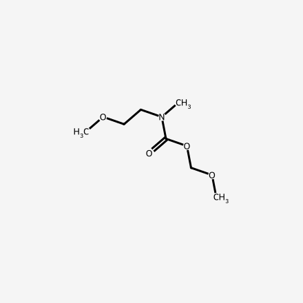 COCCN(C)C(=O)OCOC